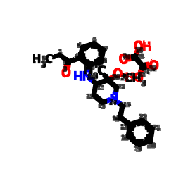 CCC(=O)c1ccccc1NC1CCN(CCc2ccccc2)CC1(C)OC.O=C(O)C(=O)O